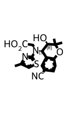 Cc1csc(N(CC(=O)O)[C@H]2c3cc(C#N)ccc3OC(C)(C)[C@@H]2O)n1